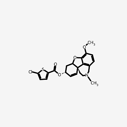 COc1ccc2c3c1OC1C[C@@H](OC(=O)c4ccc(Cl)s4)C=C[C@@]31CCN(C)C2